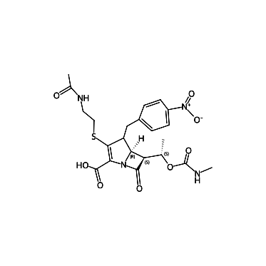 CNC(=O)O[C@@H](C)[C@H]1C(=O)N2C(C(=O)O)=C(SCCNC(C)=O)C(Cc3ccc([N+](=O)[O-])cc3)[C@@H]12